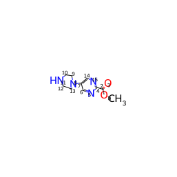 COC(=O)c1ncc(N2CCNCC2)cn1